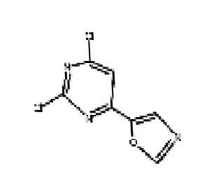 Clc1cc(-c2cnco2)nc(Cl)n1